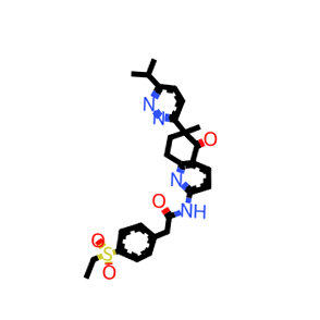 CCS(=O)(=O)c1ccc(CC(=O)Nc2ccc3c(n2)CCC(C)(c2ccc(C(C)C)nn2)C3=O)cc1